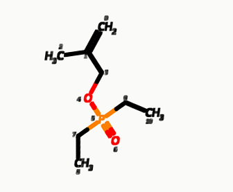 C=C(C)COP(=O)(CC)CC